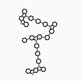 c1ccc(-c2ccc3c4ccc(-c5cccc(-c6ccc7c8ccccc8n(-c8ccc(-c9ccc(-c%10ccc(-n%11c%12ccccc%12c%12ccc%13sc%14ccccc%14c%13c%12%11)cc%10)cc9)cc8)c7c6)c5)cc4n(-c4ccc(-c5ccc(-c6ccc(-n7c8ccccc8c8cc9sc%10ccccc%10c9cc87)cc6)cc5)cc4)c3c2)cc1